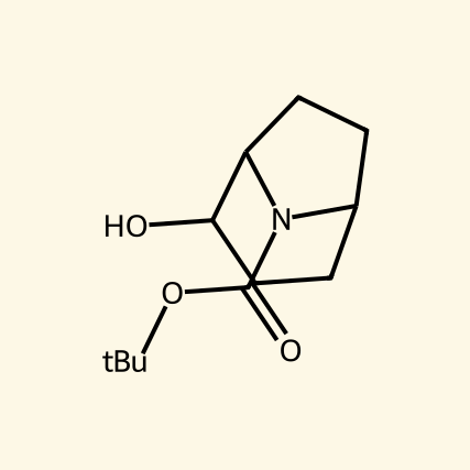 CC(C)(C)OC(=O)N1C2CCC(O)C1CC2